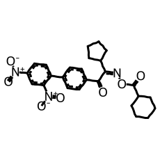 O=C(/C(=N\OC(=O)C1CCCCC1)C1CCCC1)c1ccc(-c2ccc([N+](=O)[O-])cc2[N+](=O)[O-])cc1